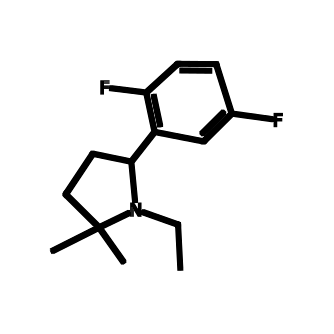 CCN1C(c2cc(F)ccc2F)CCC1(C)C